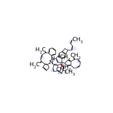 C=C/C(=C\C(N)(c1ccc2c(c1)C(/C=C\C=C/C)C2)C1C=C2C/C=C\C=C/C(=C)C2=C1)N1c2ccccc2C(=C)/C=C\C(=C)C2=C(CC=C2)N1C1=C(C)\C=C/C(C)/C=C/C=C\1